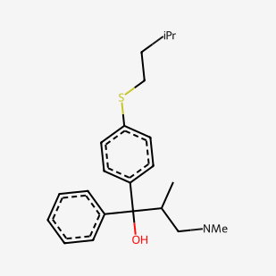 CNCC(C)C(O)(c1ccccc1)c1ccc(SCCC(C)C)cc1